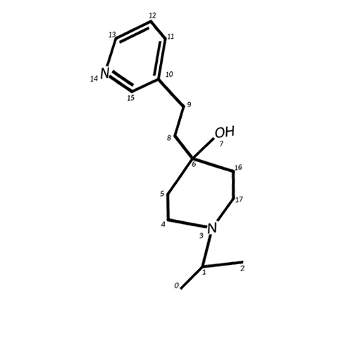 CC(C)N1CCC(O)(CCc2cccnc2)CC1